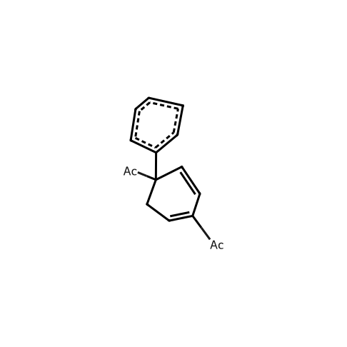 CC(=O)C1=CCC(C(C)=O)(c2ccccc2)C=C1